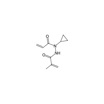 C=CC(=O)N(NC(=O)C(=C)C)C1CC1